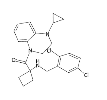 O=C(N1CCN(C2CC2)c2ccccc21)C1(NCc2cc(Cl)ccc2Cl)CCC1